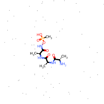 C[C@H](N)C(=O)N[C@@H](C)C(=O)N[C@@H](C)C(=O)NOP(C)(=O)O